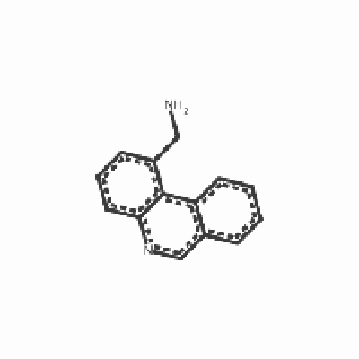 NCc1cccc2ncc3ccccc3c12